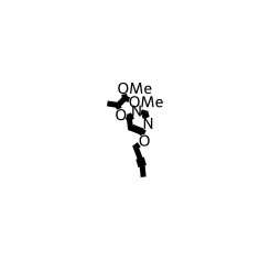 CC#CCOc1cc(OC(C)C(OC)OC)ncn1